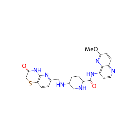 COc1ccc2nccc(NC(=O)C3CCC(NCc4ccc5c(n4)NC(=O)CS5)CN3)c2n1